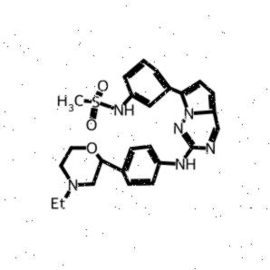 CCN1CCOC(c2ccc(Nc3ncc4ccc(-c5cccc(NS(C)(=O)=O)c5)n4n3)cc2)C1